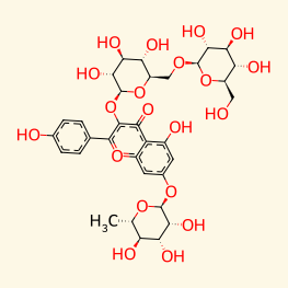 C[C@@H]1O[C@@H](Oc2cc(O)c3c(=O)c(O[C@@H]4O[C@H](CO[C@@H]5O[C@H](CO)[C@@H](O)[C@H](O)[C@H]5O)[C@@H](O)[C@H](O)[C@H]4O)c(-c4ccc(O)cc4)oc3c2)[C@H](O)[C@H](O)[C@H]1O